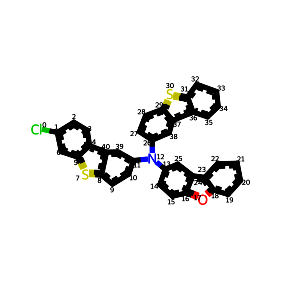 Clc1ccc2c(c1)sc1ccc(N(c3ccc4oc5ccccc5c4c3)c3ccc4sc5ccccc5c4c3)cc12